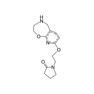 O=C1CCCN1CCOc1ccc2c(n1)OCCNC2